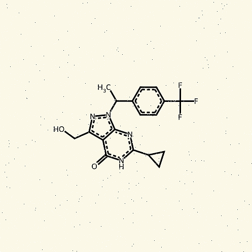 CC(c1ccc(C(F)(F)F)cc1)n1nc(CO)c2c(=O)[nH]c(C3CC3)nc21